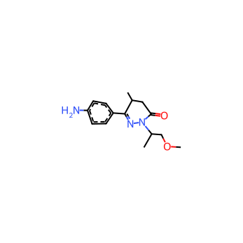 COCC(C)N1N=C(c2ccc(N)cc2)C(C)CC1=O